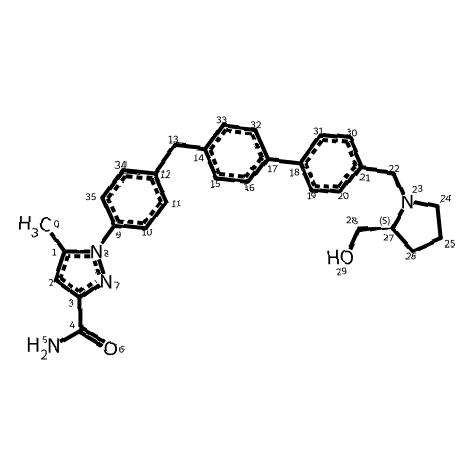 Cc1cc(C(N)=O)nn1-c1ccc(Cc2ccc(-c3ccc(CN4CCC[C@H]4CO)cc3)cc2)cc1